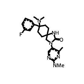 CNc1ncc(N2CC3(CCC(c4cccc(F)c4)(N(C)C)CC3)NC2=O)c(C)n1